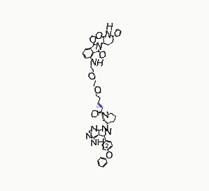 Nc1ncnc2c1c(-c1ccc(Oc3ccccc3)cc1)nn2C1CCCN(C(=O)/C=C/CCOCCOCCNc2cccc3c2C(=O)N(C2CCC(=O)NC2=O)C3=O)C1